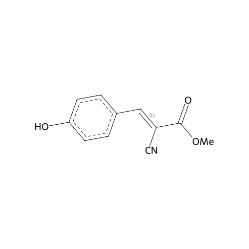 COC(=O)/C(C#N)=C/c1ccc(O)cc1